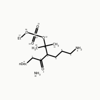 CCCCCCCCCCCC(=O)C(CCCN)C(C)(C)OS(=O)(=O)OCC.N